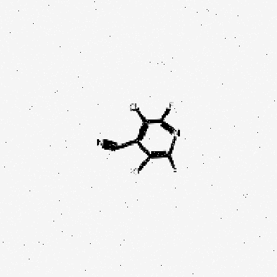 N#Cc1c(Cl)c(F)nc(F)c1Cl